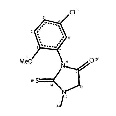 COc1ccc(Cl)cc1N1C(=O)CN(C)C1=S